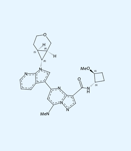 CNc1cc(-c2cn([C@H]3[C@@H]4COCC[C@@H]43)c3ncccc23)nc2c(C(=O)N[C@H]3CC[C@@H]3OC)cnn12